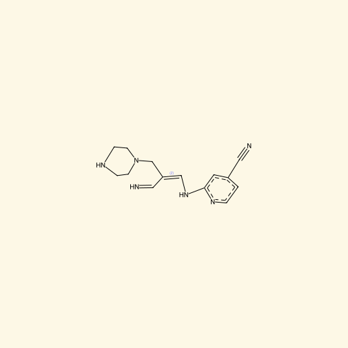 N#Cc1ccnc(N/C=C(\C=N)CN2CCNCC2)c1